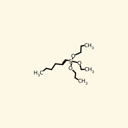 CCCCC=C[Si](OCC)(OCCC)OCCC